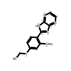 COc1cc(SCC#N)ccc1-c1nc2nccnc2[nH]1